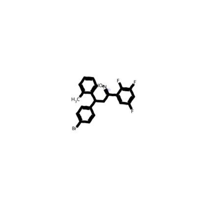 Cc1ccccc1C(C/C(=N\O)c1cc(F)cc(F)c1F)c1ccc(Br)cc1